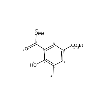 CCOC(=O)c1cc(C)c(O)c(C(=O)OC)c1